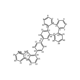 c1ccc2c(c1)-c1ccccc1-c1ccc(-c3ccc(-c4cccc5c4sc4ncccc45)cc3)cc1-c1ccccc1-2